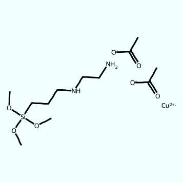 CC(=O)[O-].CC(=O)[O-].CO[Si](CCCNCCN)(OC)OC.[Cu+2]